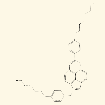 COCCOCCOC1=CCC(CS2=Nc3ccc4c5c(ccc2c35)N=C(c2ccc(OCCOCCOC)cc2)S4)C=C1